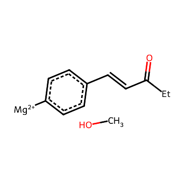 CCC(=O)C=Cc1cc[c]([Mg+2])cc1.CO